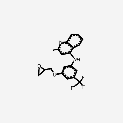 Cc1cc(Nc2cc(OCC3CO3)cc(C(F)(F)F)c2)c2ccccc2n1